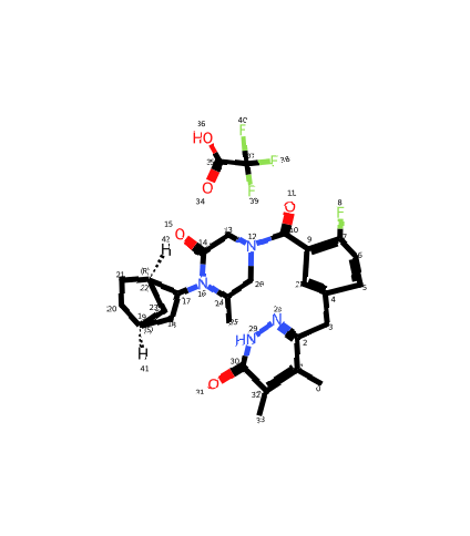 Cc1c(Cc2ccc(F)c(C(=O)N3CC(=O)N(C4C[C@H]5CC[C@@H]4C5)C(C)C3)c2)n[nH]c(=O)c1C.O=C(O)C(F)(F)F